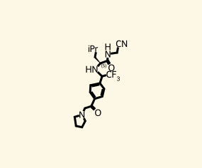 CC(C)C[C@H](NC(c1ccc(C(=O)CN2CCCC2)cc1)C(F)(F)F)C(=O)NCC#N